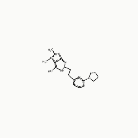 Cc1nc2c(n1C)=C(O)NC(CCc1cccc(N3CCCC3)n1)N=2